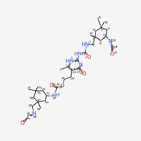 Cc1[nH]c(NC(=O)NCC2(C)CC(N=C=O)CC(C)(C)C2)nc(=O)c1CCOC(=O)NC1CC(C)(C)CC(C)(CN=C=O)C1